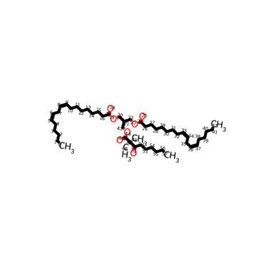 CCCCC/C=C\C/C=C\CCCCCCCC(=O)OCC(COC(=O)CCCCCCC/C=C\C/C=C\CCCCC)COC(=O)C(C)(C)C(=O)CCCCCC